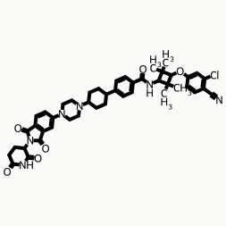 CC1(C)C(NC(=O)c2ccc(C3CCC(N4CCN(c5ccc6c(c5)C(=O)N(C5CCC(=O)NC5=O)C6=O)CC4)CC3)cc2)C(C)(C)C1Oc1ccc(C#N)c(Cl)c1